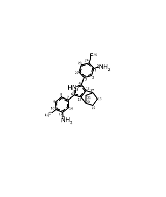 Nc1cc(-c2[nH]c(-c3ccc(F)c(N)c3)c3c2C2CCC3C2)ccc1F